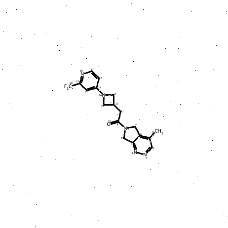 Cc1cnnc2c1CN(C(=O)CC1CN(c3ccnc(C(F)(F)F)c3)C1)C2